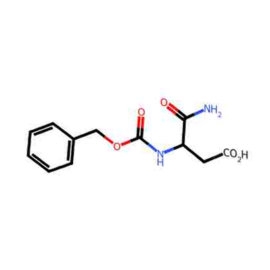 NC(=O)C(CC(=O)O)NC(=O)OCc1ccccc1